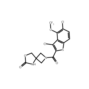 O=C1NC2(CO1)CN(C(=O)c1sc3ccc(Cl)c(OC(F)(F)F)c3c1Cl)C2